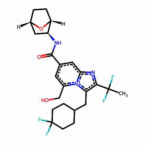 CC(F)(F)c1nc2cc(C(=O)N[C@H]3C[C@@H]4CC[C@H]3O4)cc(CO)n2c1CC1CCC(F)(F)CC1